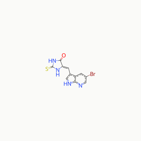 O=C1NC(=S)NC1=Cc1c[nH]c2ncc(Br)cc12